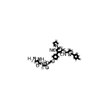 Cc1ccc(-c2nc(CSc3nc(N4CCCC4)c(C#N)c(-c4ccc(OCCOC(=O)[C@H](C)NC(=O)[C@@H](N)CN)cc4)c3C#N)cs2)cc1